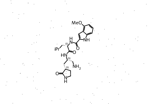 COc1cccc2[nH]c(C(=O)N[C@@H](CC(C)C)C(=O)N[C@H](CN)C[C@@H]3CCNC3=O)cc12